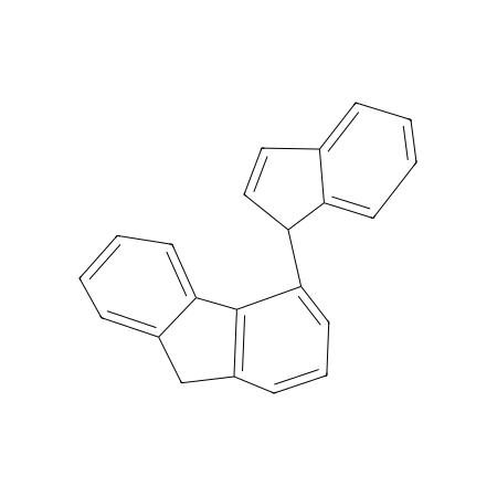 C1=CC(c2cccc3c2-c2ccccc2C3)c2ccccc21